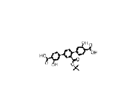 CC(C)(C)OC(=O)c1cc(-c2ccc(C(=O)O)c(O)c2)ccc1-c1ccc(C(=O)O)c(O)c1